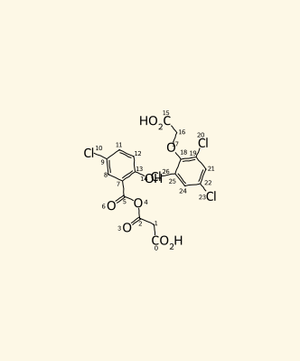 O=C(O)CC(=O)OC(=O)c1cc(Cl)ccc1O.O=C(O)COc1c(Cl)cc(Cl)cc1Cl